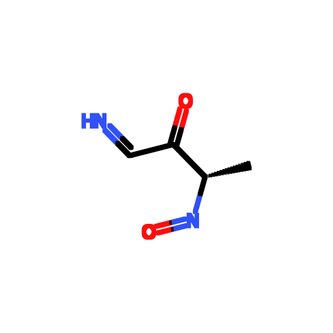 C[C@H](N=O)C(=O)C=N